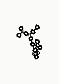 c1ccc(-c2ccc(N(c3ccc(-c4ccc5c(c4)C4(c6ccccc6-c6ccccc64)c4cc6c(cc4-5)Oc4ccccc4O6)cc3)c3ccc(N(c4ccccc4)c4ccccc4)cc3)cc2)cc1